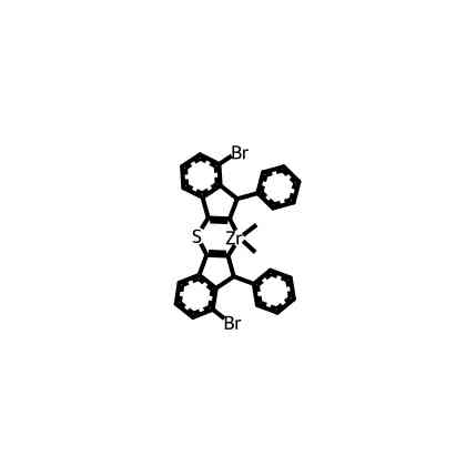 [CH3][Zr]1([CH3])[C]2=C(SC3=[C]1C(c1ccccc1)c1c(Br)cccc13)c1cccc(Br)c1C2c1ccccc1